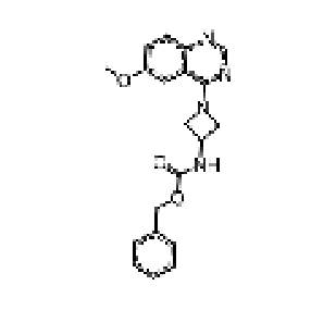 COc1ccc2ncnc(N3CC(NC(=O)OCc4ccccc4)C3)c2c1